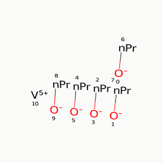 CCC[O-].CCC[O-].CCC[O-].CCC[O-].CCC[O-].[V+5]